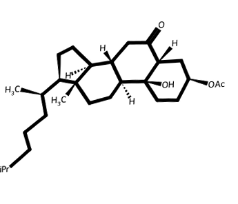 CC(=O)O[C@H]1CC[C@@]2(O)[C@@H](C1)C(=O)C[C@H]1[C@@H]3CC[C@H]([C@H](C)CCCC(C)C)[C@@]3(C)CC[C@@H]12